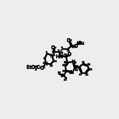 CCOC(=O)ON1CCN(C(=O)[C@H](CCC(=O)OC(C)(C)C)NC(=O)c2cc(N(C)C)nc(-c3ccccc3)n2)CC1